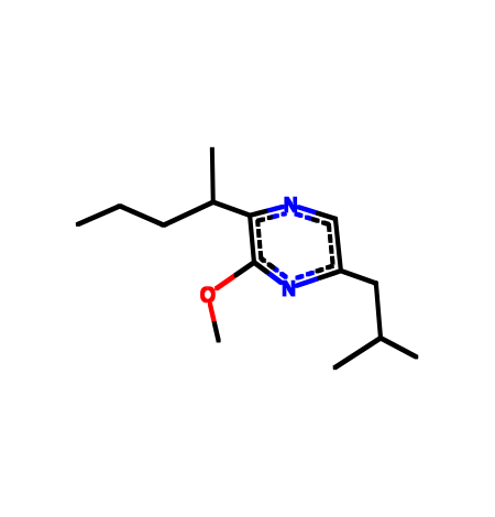 CCCC(C)c1ncc(CC(C)C)nc1OC